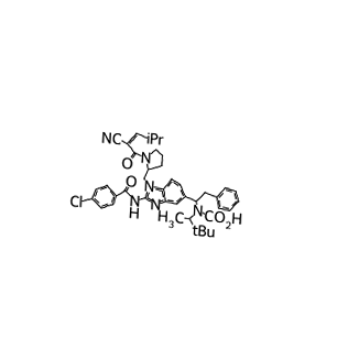 CC(C)C=C(C#N)C(=O)N1CCCC1Cn1c(NC(=O)c2ccc(Cl)cc2)nc2cc(C(Cc3ccccc3)N(C(=O)O)C(C)C(C)(C)C)ccc21